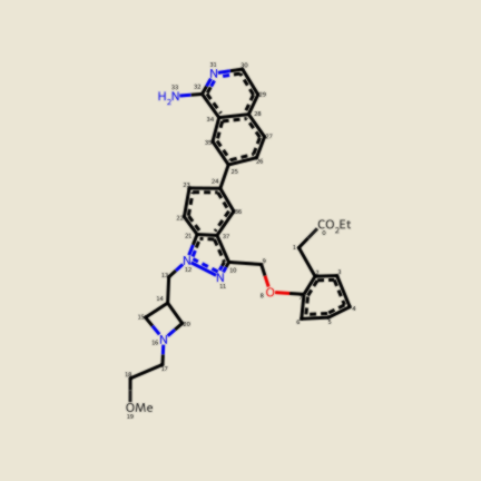 CCOC(=O)Cc1ccccc1OCc1nn(CC2CN(CCOC)C2)c2ccc(-c3ccc4ccnc(N)c4c3)cc12